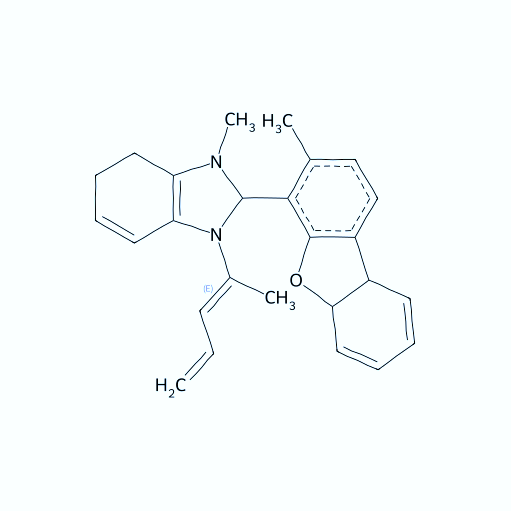 C=C/C=C(\C)N1C2=C(CCC=C2)N(C)C1c1c(C)ccc2c1OC1C=CC=CC21